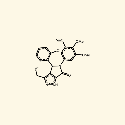 COc1cc(N2C(=O)c3[nH]nc(CC(C)C)c3C2c2ccccc2Cl)cc(OC)c1OC